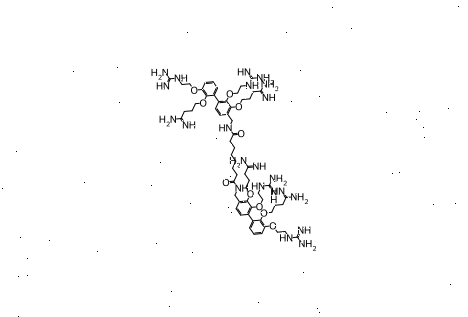 N=C(N)CCCOc1c(OCCNC(=N)N)cccc1-c1ccc(CNC(=O)CCCCCCC(=O)NCc2ccc(-c3cccc(OCCNC(=N)N)c3OCCCC(=N)N)c(OCCNC(=N)N)c2OCCCC(=N)N)c(OCCCC(=N)N)c1OCCNC(=N)N